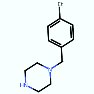 CCc1ccc([CH]N2CCNCC2)cc1